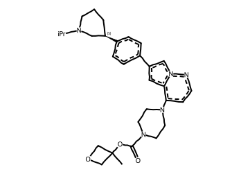 CC(C)N1CCC[C@@H](c2ccc(-c3cc4c(N5CCN(C(=O)OC6(C)COC6)CC5)ccnn4c3)cc2)C1